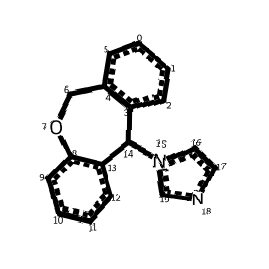 c1ccc2c(c1)COc1ccccc1C2n1ccnc1